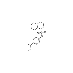 CCC(C)c1ccc(OS(=O)(=O)C2CCCC3CCCCC32)cc1